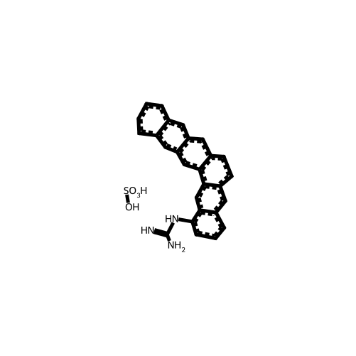 N=C(N)Nc1cccc2cc3ccc4cc5cc6ccccc6cc5cc4c3cc12.O=S(=O)(O)O